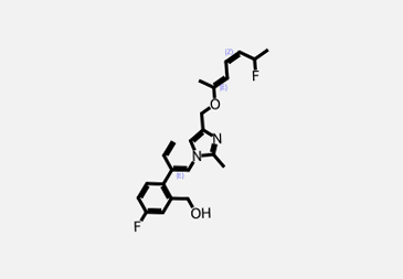 C=C/C(=C\n1cc(CO/C(C)=C/C=C\C(C)F)nc1C)c1ccc(F)cc1CO